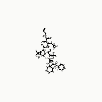 C=CCNC(=O)C(=O)C(CC1CC1)NC(=O)[C@@H]1C2[C@H](CN1C(=O)[C@@H](NC(=O)NC1(CS(=O)(=O)c3ccccc3)CCCCC1)C(C)(C)C)C2(C)C